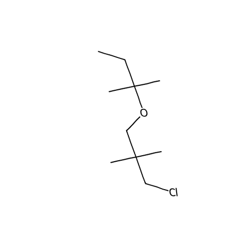 CCC(C)(C)OCC(C)(C)CCl